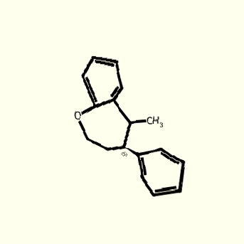 CC1c2ccccc2OCC[C@@H]1c1ccccc1